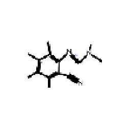 Cc1c(C)c(C)c(/N=C/N(C)C)c(C#N)c1C